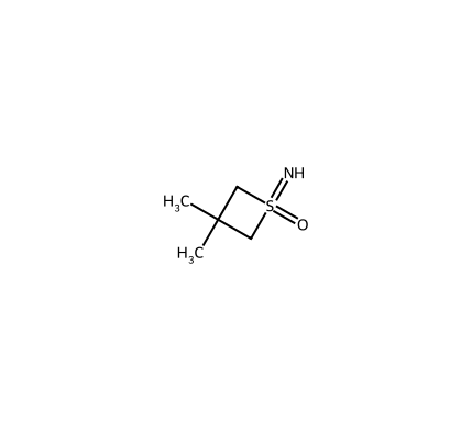 CC1(C)CS(=N)(=O)C1